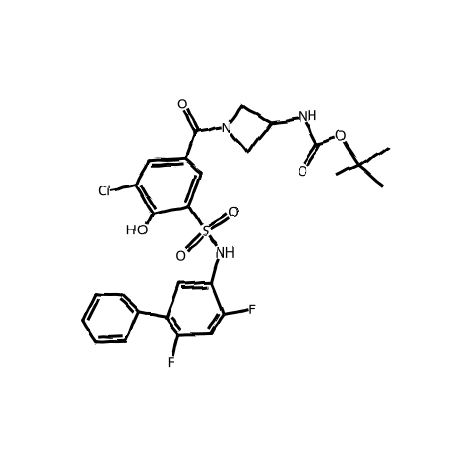 CC(C)(C)OC(=O)NC1CN(C(=O)c2cc(Cl)c(O)c(S(=O)(=O)Nc3cc(-c4ccccc4)c(F)cc3F)c2)C1